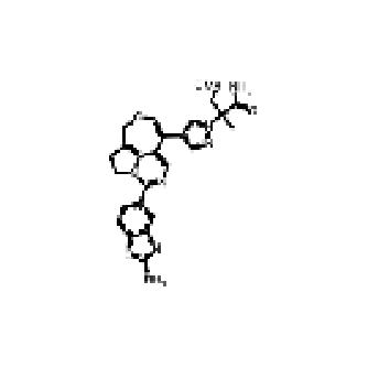 COCC(C)(C(N)=O)n1cc(C2=COCC3=C4C2=CN=C(c2ccc5oc(N)nc5c2)N4CC3)cn1